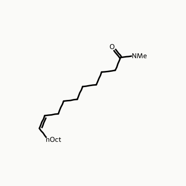 CCCCCCCC/C=C\CCCCCCCC(=O)NC